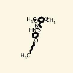 CCCCCCCOc1ccc(Nc2nc(-c3cc(OC)ccc3OC)cs2)cc1